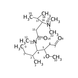 CCC(C)C(C(CC=O)OC)N(C)C(=O)CC(C(C)C)N(C)C